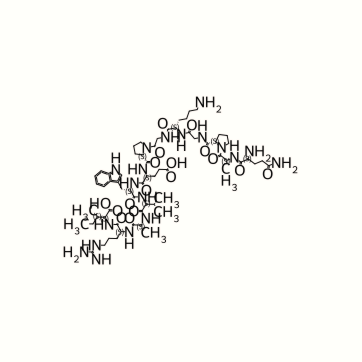 CC[C@H](C)[C@H](NC(=O)[C@H](CCCNC(=N)N)NC(=O)[C@H](C)NC(=O)[C@@H](NC(=O)[C@H](Cc1c[nH]c2ccccc12)NC(=O)[C@H](CCC(=O)O)NC(=O)[C@@H]1CCCN1C(=O)CNC(=O)[C@H](CCCCN)NC(=O)CNC(=O)[C@@H]1CCCN1C(=O)[C@H](C)NC(=O)[C@@H](N)CCC(N)=O)C(C)C)C(=O)O